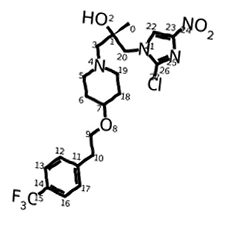 C[C@](O)(CN1CCC(OCCc2ccc(C(F)(F)F)cc2)CC1)Cn1cc([N+](=O)[O-])nc1Cl